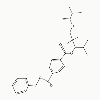 CC(C)C(=O)OCC(C)(C)C(OC(=O)c1ccc(C(=O)OCc2ccccc2)cc1)C(C)C